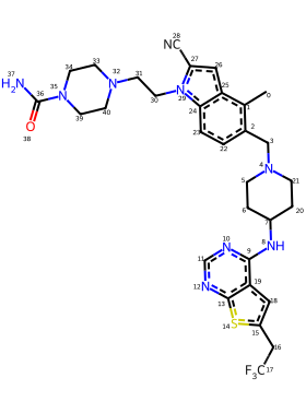 Cc1c(CN2CCC(Nc3ncnc4sc(CC(F)(F)F)cc34)CC2)ccc2c1cc(C#N)n2CCN1CCN(C(N)=O)CC1